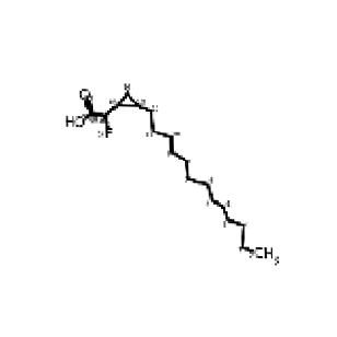 CCCCCCCCCCCCCC1CC1C(F)C(=O)O